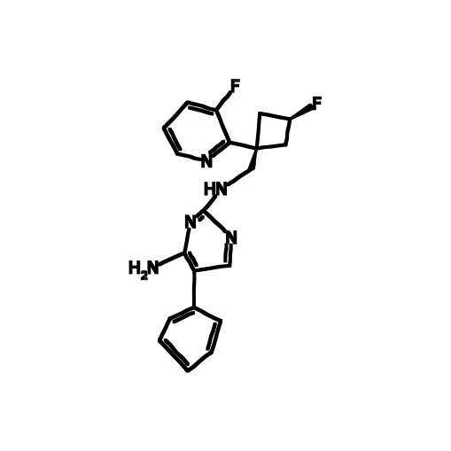 Nc1nc(NC[C@]2(c3ncccc3F)C[C@H](F)C2)ncc1-c1ccccc1